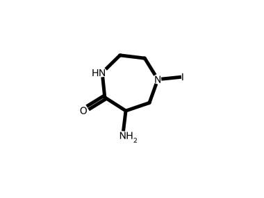 NC1CN(I)CCNC1=O